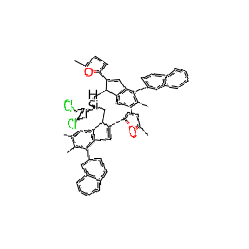 Cc1ccc(C2=Cc3c(cc(C)c(C)c3-c3ccc4ccccc4c3)C2C[SiH](CC2C(c3ccc(C)o3)=Cc3c2cc(C)c(C)c3-c2ccc3ccccc3c2)[Zr]([Cl])[Cl])o1